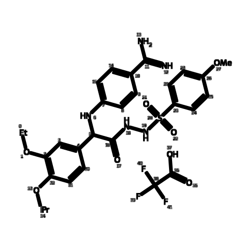 CCOc1cc(C(Nc2ccc(C(=N)N)cc2)C(=O)NNS(=O)(=O)c2ccc(OC)cc2)ccc1OC(C)C.O=C(O)C(F)(F)F